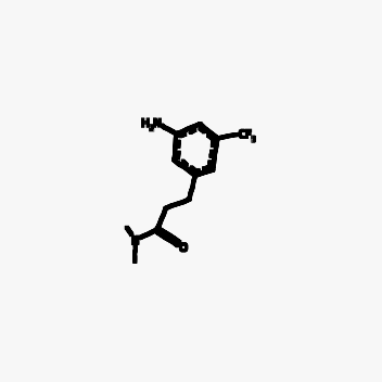 CN(C)C(=O)CCc1cc(N)cc(C(F)(F)F)c1